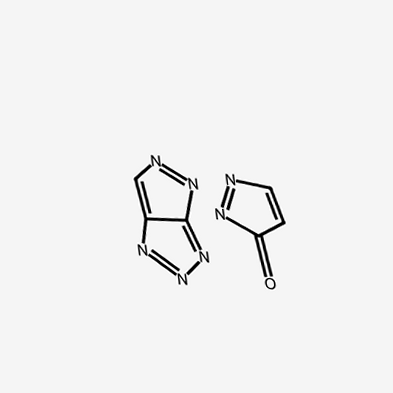 C1=C2N=NN=C2N=N1.O=C1C=CN=N1